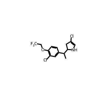 CC(c1ccc(OCC(F)(F)F)c(Cl)c1)C1CC(Cl)=CN1